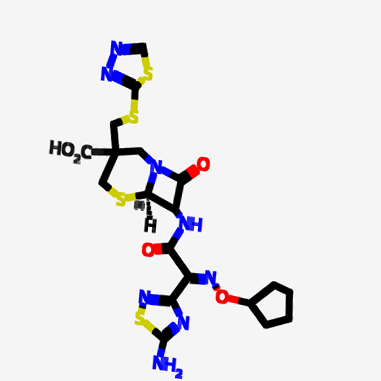 Nc1nc(C(=NOC2CCCC2)C(=O)NC2C(=O)N3CC(CSc4nncs4)(C(=O)O)CS[C@H]23)ns1